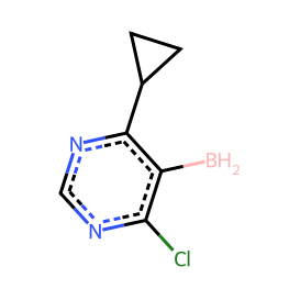 Bc1c(Cl)ncnc1C1CC1